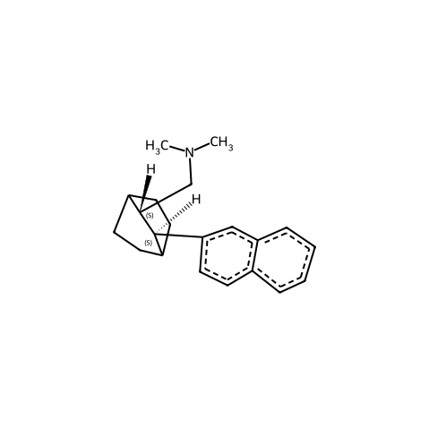 CN(C)C[C@H]1C2CCC(CC2)[C@@H]1c1ccc2ccccc2c1